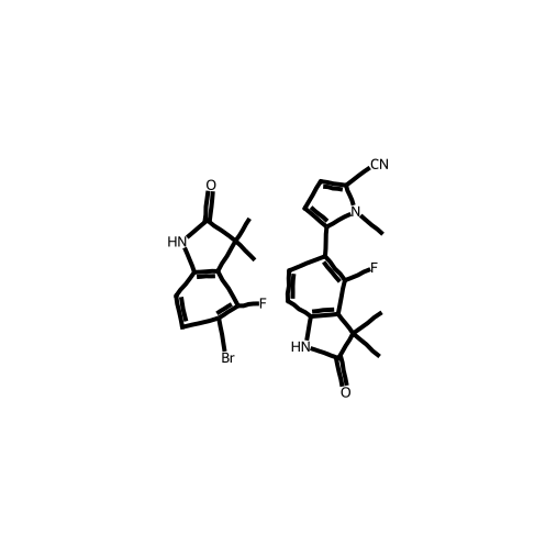 CC1(C)C(=O)Nc2ccc(Br)c(F)c21.Cn1c(C#N)ccc1-c1ccc2c(c1F)C(C)(C)C(=O)N2